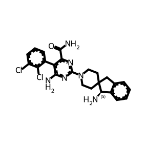 NC(=O)c1nc(N2CCC3(CC2)Cc2ccccc2[C@H]3N)nc(N)c1-c1cccc(Cl)c1Cl